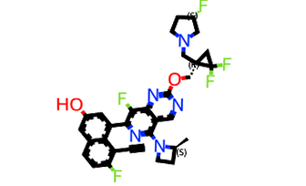 C#Cc1c(F)ccc2cc(O)cc(-c3nc(N4CC[C@@H]4C)c4cnc(OC[C@]5(CN6CC[C@H](F)C6)CC5(F)F)nc4c3F)c12